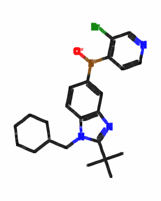 CC(C)(C)c1nc2cc([S+]([O-])c3ccncc3Br)ccc2n1CC1CCCCC1